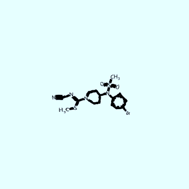 CSC(=NC#N)N1CCC(N(c2ccc(Br)cc2)S(C)(=O)=O)CC1